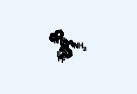 NCCCCN(Cc1cn2c(C(F)(F)F)cccc2n1)C1CCCc2cccnc21